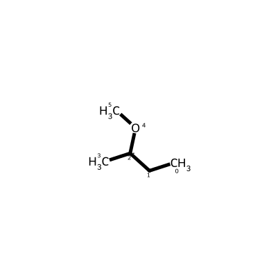 CC[C](C)OC